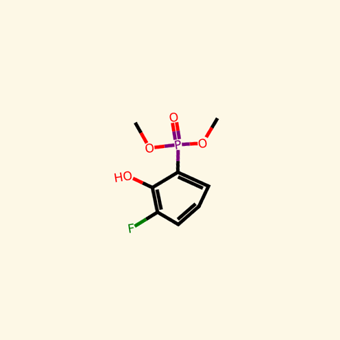 COP(=O)(OC)c1cccc(F)c1O